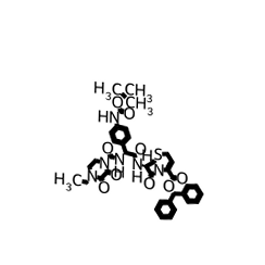 CCN1CCN(C(=O)N[C@@H](C(=O)N[C@@H]2C(=O)N3C(C(=O)OC(c4ccccc4)c4ccccc4)=CCS[C@H]23)c2ccc(NC(=O)OC(C)(C)C)cc2)C(=O)C1=O